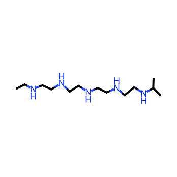 CCNCCNCCNCCNCCNC(C)C